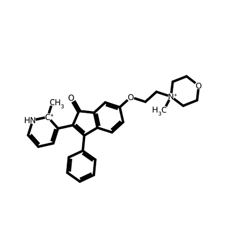 C[c+]1[nH]cccc1C1=C(c2ccccc2)c2ccc(OCC[N+]3(C)CCOCC3)cc2C1=O